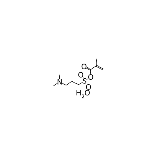 C=C(C)C(=O)OS(=O)(=O)CCCN(C)C.O